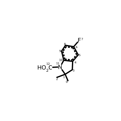 CC1(C)Cc2cc(F)ccc2N1C(=O)O